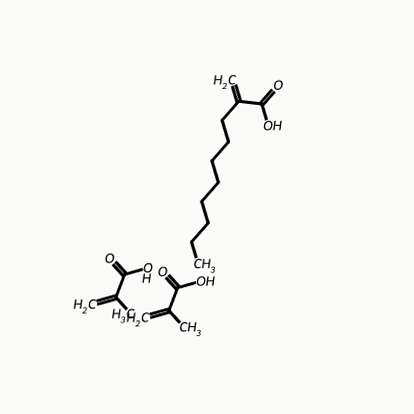 C=C(C)C(=O)O.C=C(C)C(=O)O.C=C(CCCCCCCC)C(=O)O